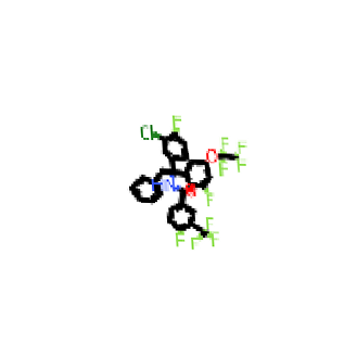 O=C(NC(Cc1ccccc1)(c1cc(F)cc(OC(F)(F)C(F)F)c1)c1ccc(F)c(Cl)c1)c1ccc(F)c(C(F)(F)F)c1